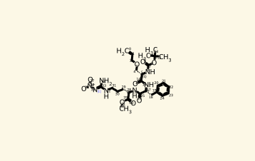 C=CCOC[C@H](NC(=O)OC(C)(C)C)C(=O)N[C@H](Cc1ccccc1)C(=O)N[C@@H](CCCN/C(N)=N/[N+](=O)[O-])C(=O)OC